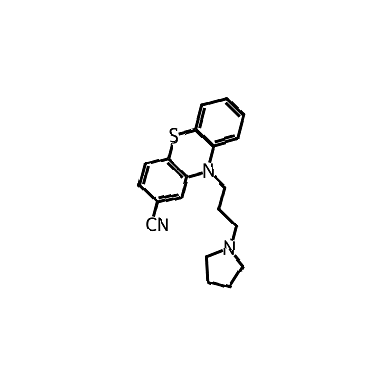 N#Cc1ccc2c(c1)N(CCCN1CCCC1)c1ccccc1S2